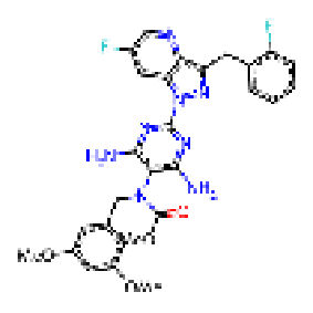 COC(=O)N(Cc1cc(OC)cc(OC)c1)c1c(N)nc(-n2nc(Cc3ccccc3F)c3ncc(F)cc32)nc1N